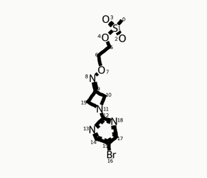 CS(=O)(=O)OCCON=C1CN(c2ncc(Br)cn2)C1